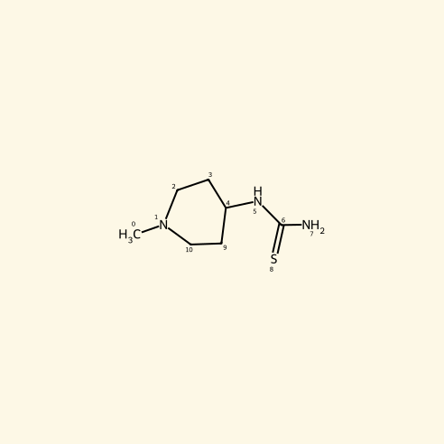 CN1CCC(NC(N)=S)CC1